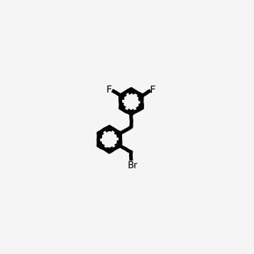 Fc1cc(F)cc(Cc2ccccc2CBr)c1